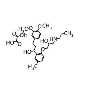 CCCNCC(O)COc1ccc(C)cc1C(O)CCc1ccc(OC)c(OC)c1.O=C(O)C(=O)O